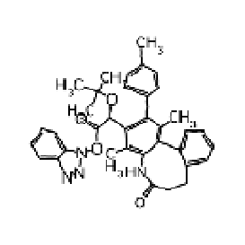 Cc1ccc(-c2c(C)c3c(c(C)c2[C@H](OC(C)(C)C)C(=O)On2nnc4ccccc42)NC(=O)CCc2ccccc2-3)cc1